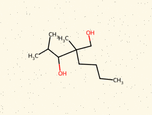 CCCCC(C)(CO)C(O)C(C)C